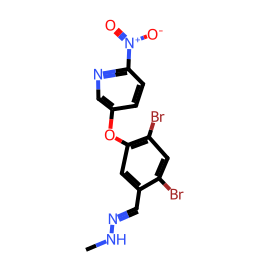 CN/N=C/c1cc(Oc2ccc([N+](=O)[O-])nc2)c(Br)cc1Br